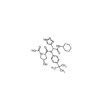 CC(C)(C)c1ccc(N(C(=O)[C@H]2C[C@@H](O)CN2C(=O)O)C(C(=O)NC2CCCCC2)c2c[nH]nn2)cc1